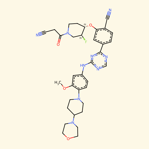 COc1cc(Nc2ncnc(-c3ccc(C#N)c(O[C@H]4CCN(C(=O)CC#N)C[C@@H]4F)c3)n2)ccc1N1CCC(N2CCOCC2)CC1